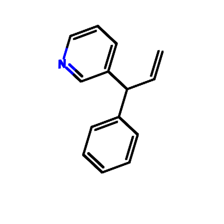 C=CC(c1ccccc1)c1cccnc1